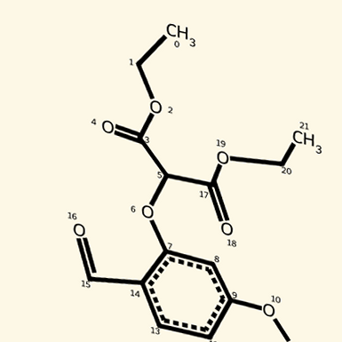 CCOC(=O)C(Oc1cc(OC)ccc1C=O)C(=O)OCC